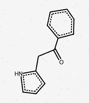 O=C(Cc1ccc[nH]1)c1ccccc1